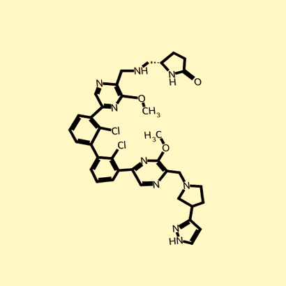 COc1nc(-c2cccc(-c3cccc(-c4cnc(CN5CCC(c6cc[nH]n6)C5)c(OC)n4)c3Cl)c2Cl)cnc1CNC[C@@H]1CCC(=O)N1